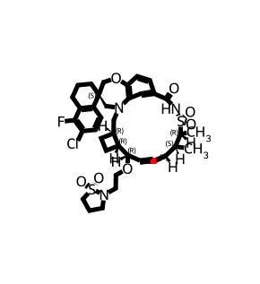 C[C@@H]1[C@@H](C)S(=O)(=O)NC(=O)c2ccc3c(c2)N(C[C@@H]2CC[C@H]2[C@@H](OCCN2CCCS2(=O)=O)C2=C[C@H]1C2)C[C@@]1(CCCc2c1ccc(Cl)c2F)CO3